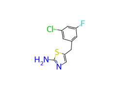 Nc1ncc(Cc2cc(F)cc(Cl)c2)s1